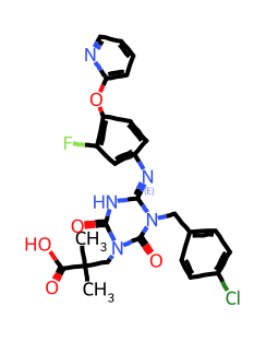 CC(C)(Cn1c(=O)[nH]/c(=N\c2ccc(Oc3ccccn3)c(F)c2)n(Cc2ccc(Cl)cc2)c1=O)C(=O)O